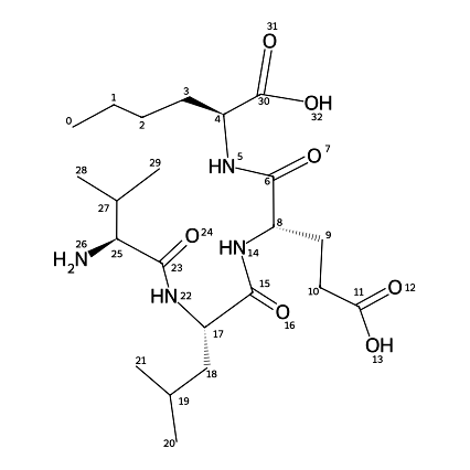 CCCC[C@H](NC(=O)[C@H](CCC(=O)O)NC(=O)[C@H](CC(C)C)NC(=O)[C@@H](N)C(C)C)C(=O)O